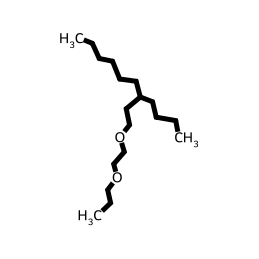 CCCCCCC(CCCC)CCOCCOCCC